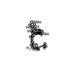 COc1cccc2c1C(=O)c1c(O)c3c(c(O)c1C2=O)C[C@@](O)(C(=O)CN(C)C1CCN(C(=O)OCc2ccc(NC(=O)[C@H](C)NC(=O)[C@@H](NC(=O)CCCCCN4C(=O)C=CC4=O)C(C)C)cc2)CC1)C[C@@H]3O[C@H]1C[C@H]2[C@H](O[C@@H]3[C@@H](OC)OCCN32)[C@H](C)O1